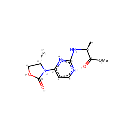 COC(=O)[C@H](C)Nc1nccc(N2C(=O)OC[C@@H]2C(C)C)n1